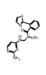 CCCN(CNc1ccnc(N)n1)C(=O)c1ccccc1-c1nccs1